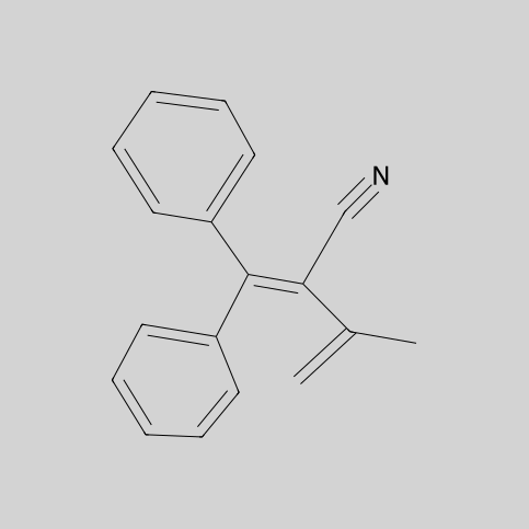 C=C(C)C(C#N)=C(c1ccccc1)c1ccccc1